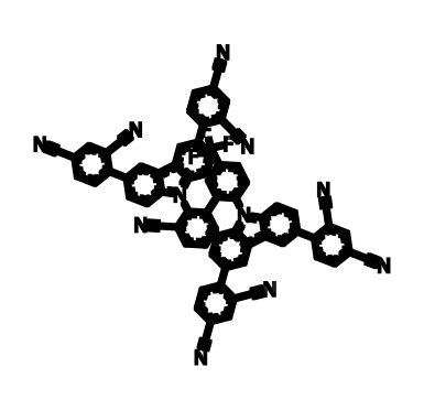 N#Cc1ccc(-c2ccc3c(c2)c2cc(-c4ccc(C#N)cc4C#N)ccc2n3-c2ccc(C(F)(F)F)cc2-c2cccc(C#N)c2-n2c3ccc(-c4ccc(C#N)cc4C#N)cc3c3cc(-c4ccc(C#N)cc4C#N)ccc32)c(C#N)c1